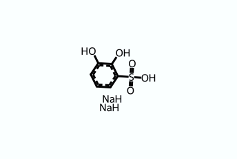 O=S(=O)(O)c1cccc(O)c1O.[NaH].[NaH]